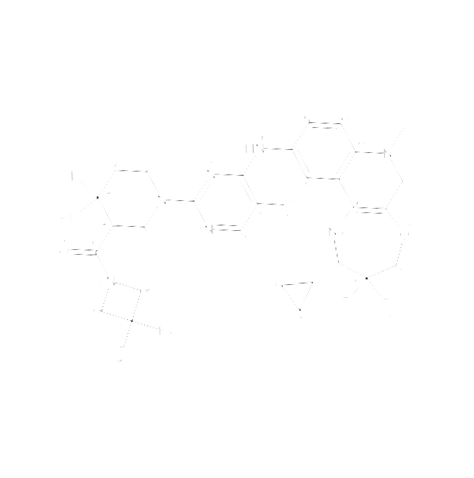 CN1CC2=C(N[C@@H](C3CC3)C(F)(F)CO2)c2cc(Nc3nc(N4CCC(F)(F)C(C(=O)N5CC(F)(F)C5)C4)ncc3Cl)ccc21